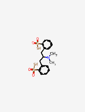 CN(C)C(Cc1ccccc1S(=O)(=O)S)Cc1ccccc1S(=O)(=O)S